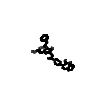 CC(C)CC1SC(CC(=O)N2CCC(N3CCc4ccccc4NC3=O)CC2)C(=O)N1CCc1ccncc1